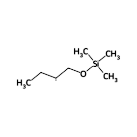 CC[CH]CO[Si](C)(C)C